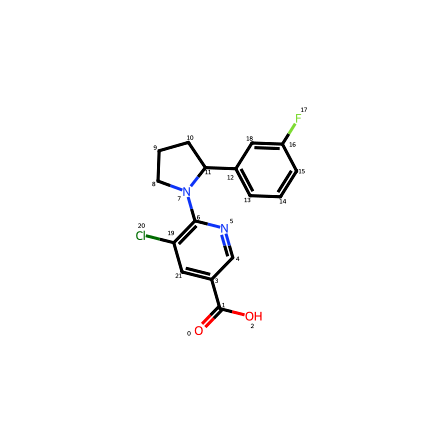 O=C(O)c1cnc(N2CCCC2c2cccc(F)c2)c(Cl)c1